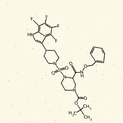 CC(C)(C)OC(=O)N1CCN(S(=O)(=O)N2CCC(c3c[nH]c4c(F)c(F)c(F)c(F)c34)CC2)C(C(=O)NOCc2ccccc2)C1